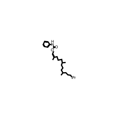 CC(=CCOC(=O)Nc1ccccc1)CCCC(C)CCCC(C)CCCC(C)C